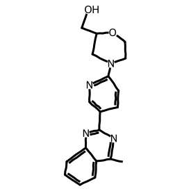 Cc1nc(-c2ccc(N3CCOC(CO)C3)nc2)nc2ccccc12